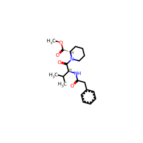 COC(=O)[C@@H]1CCCCN1C(=O)[C@@H](NC(=O)Cc1ccccc1)C(C)C